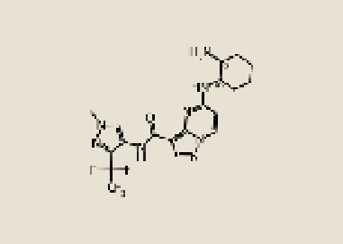 Cn1cc(NC(=O)c2cnn3ccc(N[C@@H]4CCCC[C@@H]4N)nc23)c(C(F)(F)C(F)(F)F)n1